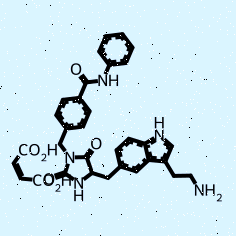 NCCc1c[nH]c2ccc(CC3NC(=O)N(Cc4ccc(C(=O)Nc5ccccc5)cc4)C3=O)cc12.O=C(O)/C=C\C(=O)O